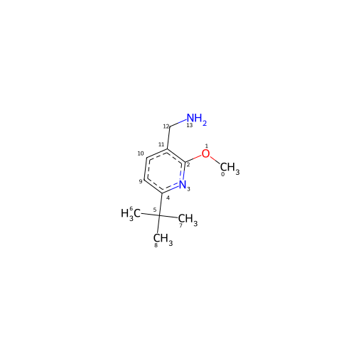 COc1nc(C(C)(C)C)ccc1CN